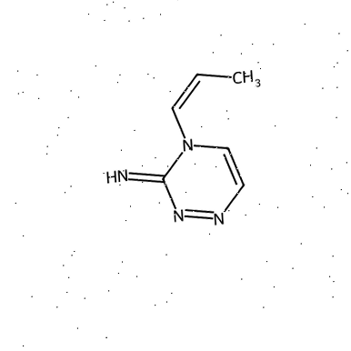 C/C=C\n1ccnnc1=N